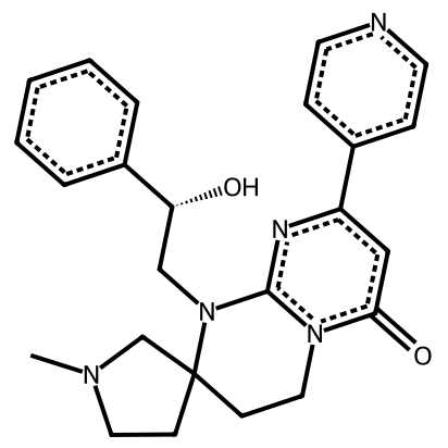 CN1CCC2(CCn3c(nc(-c4ccncc4)cc3=O)N2C[C@@H](O)c2ccccc2)C1